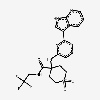 O=C(NCC(F)(F)F)C1(Nc2ccnc(-c3c[nH]c4ncccc34)n2)CCS(=O)(=O)CC1